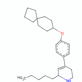 O=C(O)CCCCC1C=C(c2ccc(OC3CCC4(CCCC4)CC3)cc2)CCN1